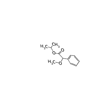 COC(C(=O)OC(C)C)c1ccccc1